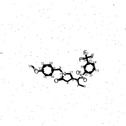 CCC(C1CC(=O)N(Cc2ccc(OC)cc2)C1)S(=O)(=O)c1cccc(C(F)(F)F)c1